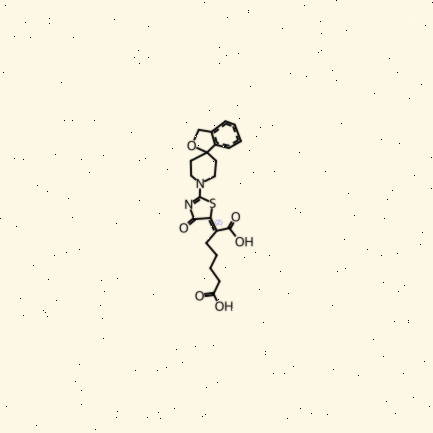 O=C(O)CCCC/C(C(=O)O)=C1/SC(N2CCC3(CC2)OCc2ccccc23)=NC1=O